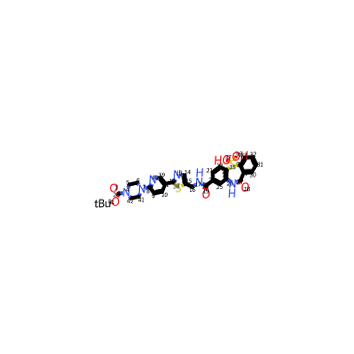 CC(C)(C)OC(=O)N1CCN(c2ccc(-c3ncc(CNC(=O)c4ccc5c(c4)NC(=O)c4ccccc4S5(O)O)s3)cn2)CC1